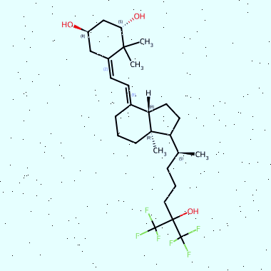 C[C@@H](CCCC(O)(C(F)(F)F)C(F)(F)F)C1CC[C@H]2/C(=C/C=C3/C[C@@H](O)C[C@H](O)C3(C)C)CCC[C@]12C